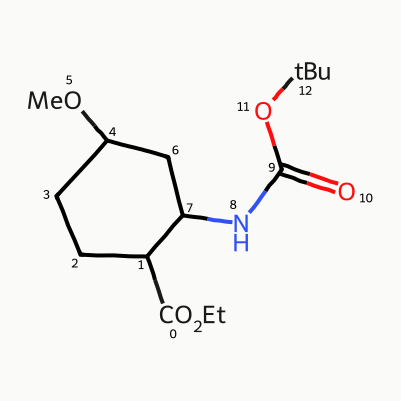 CCOC(=O)C1CCC(OC)CC1NC(=O)OC(C)(C)C